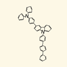 c1ccc(-c2ccc(-c3ccc(-n4c5ccccc5c5cc(-c6ccc(N(c7ccccc7)c7ccccc7)cc6)ccc54)cc3)cc2)cc1